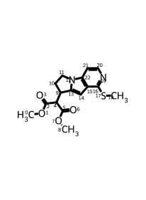 COC(=O)C(C(=O)OC)C1CCn2c1cc1c(SC)nccc12